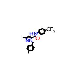 Cc1ccc(Cn2nc(C)cc2C(=O)Nc2ccc(C(F)(F)F)cc2)cc1